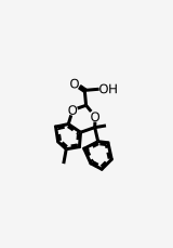 Cc1ccc2c(c1)C(C)(c1ccccc1)OC(C(=O)O)O2